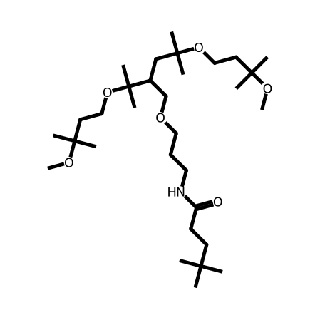 COC(C)(C)CCOC(C)(C)CC(COCCCNC(=O)CCC(C)(C)C)C(C)(C)OCCC(C)(C)OC